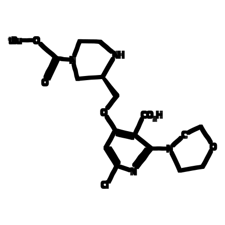 CC(C)(C)OC(=O)N1CCN[C@@H](COc2cc(Cl)nc(N3CCOCC3)c2C(=O)O)C1